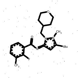 Cn1c(C(C)(C)C)c/c(=N/C(=O)c2cccc(C(F)(F)F)c2F)n1CC1CCOCC1